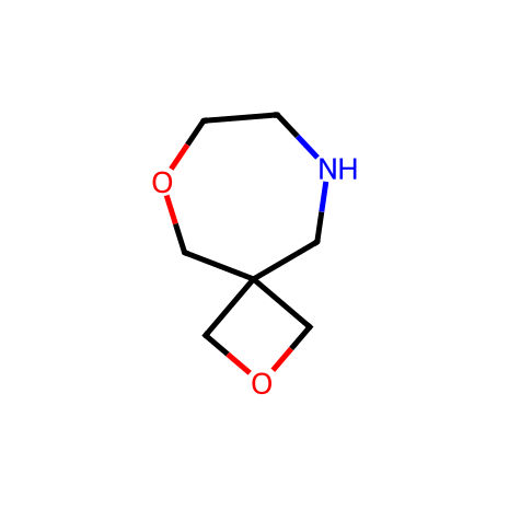 C1COCC2(CN1)COC2